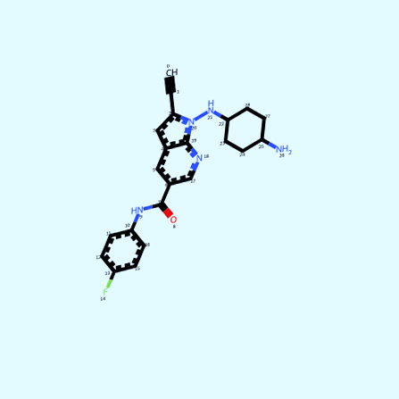 C#Cc1cc2cc(C(=O)Nc3ccc(F)cc3)cnc2n1NC1CCC(N)CC1